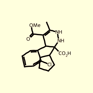 COC(=O)C1=C(C)NNC(C(=O)O)(C2CCCC2)C1c1ccccc1Cl